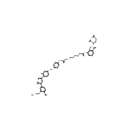 CNCCc1cc(-c2cc(-c3ccc(SNc4ccc(NC(=O)CNCCCCCC(=O)Nc5cccc6c5CN(C5CCC(=O)NC5=O)C6=O)cc4)cc3F)cnc2N)ccc1C=O